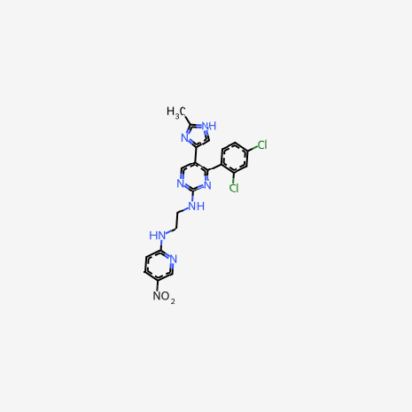 Cc1nc(-c2cnc(NCCNc3ccc([N+](=O)[O-])cn3)nc2-c2ccc(Cl)cc2Cl)c[nH]1